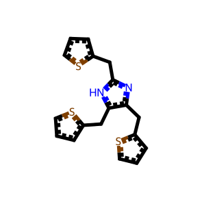 c1csc(Cc2nc(Cc3cccs3)c(Cc3cccs3)[nH]2)c1